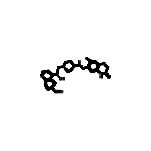 COc1ccc2nccc([C@@H](O)CN3CCC(NCc4cc5c(cc4C)OCC(=O)N5)CC3)c2c1